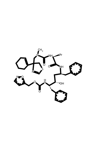 CC(C)[C@H](NC(=O)N(C)CC1(C2=CCCCC2)CSC=N1)C(=O)N[C@@H](Cc1ccccc1)C[C@H](O)[C@H](Cc1ccccc1)NC(=O)OCc1ccno1